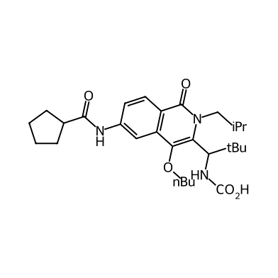 CCCCOc1c(C(NC(=O)O)C(C)(C)C)n(CC(C)C)c(=O)c2ccc(NC(=O)C3CCCC3)cc12